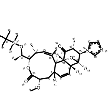 CO[C@H]1C[C@H]2C=C[C@H]3[C@H]4O[C@]2(C(C)=C[C@@H](C)[C@@H]([C@@H](C)O[Si](C)(C)C(C)(C)C)OC1=O)[C@@H]3C(=O)[C@H](C)[C@H]4n1ccnc1